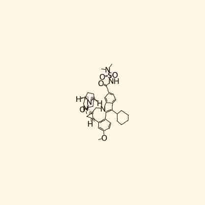 COc1ccc2c(c1)[C@H]1C[C@@]1(C(=O)N1[C@@H]3CC[C@H]1CN(C)C3)Cn1c-2c(C2CCCCC2)c2ccc(C(=O)NS(=O)(=O)N(C)C)cc21